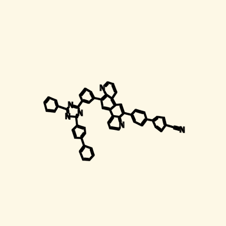 N#Cc1ccc(-c2ccc(-c3cc4c5cccnc5c(-c5cccc(-c6nc(-c7ccccc7)nc(-c7ccc(-c8ccccc8)cc7)n6)c5)cc4c4cccnc34)cc2)cc1